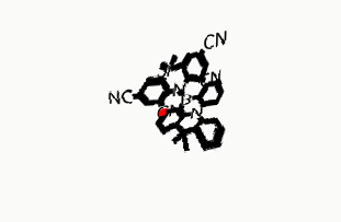 CC1(C)c2ccccc2N2c3ccccc3B(N3c4c(C#N)cc(C#N)cc4[Si](C)(C)c4cc(C#N)cc(C#N)c43)c3cccc1c32